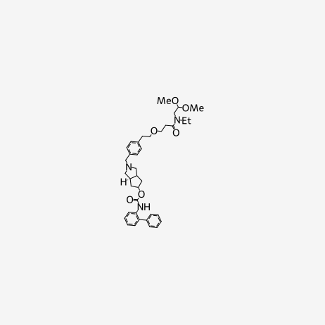 CCN(CC(OC)OC)C(=O)CCOCCc1ccc(CN2CC3CC(OC(=O)Nc4ccccc4-c4ccccc4)C[C@H]3C2)cc1